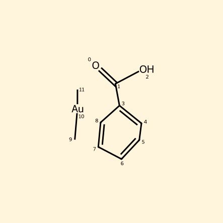 O=C(O)c1ccccc1.[CH3][Au][CH3]